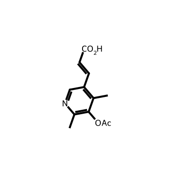 CC(=O)Oc1c(C)ncc(/C=C/C(=O)O)c1C